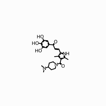 Cc1[nH]c(/C=C/C(=O)c2cc(O)c(O)c(O)c2)c(C)c1C(=O)N1CCC(N(C)C)CC1